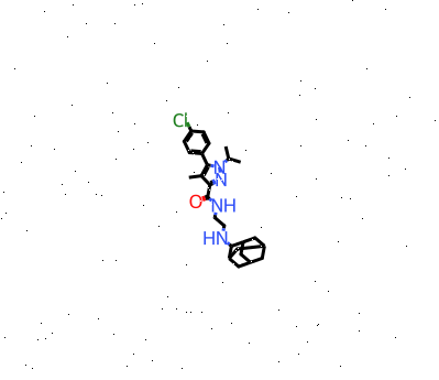 Cc1c(C(=O)NCCNC2C3CC4CC(C3)CC2C4)nn(C(C)C)c1-c1ccc(Cl)cc1